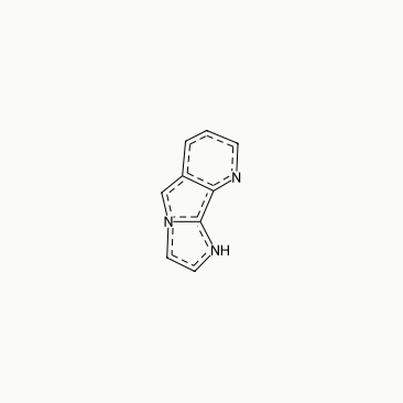 c1cnc2c(c1)cn1cc[nH]c21